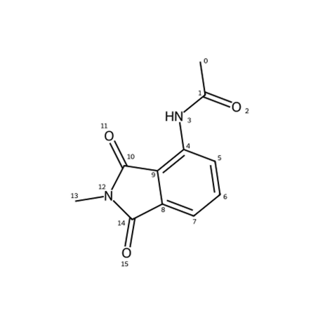 CC(=O)Nc1cccc2c1C(=O)N(C)C2=O